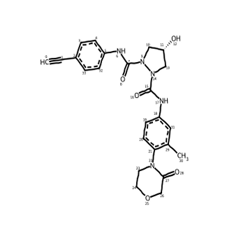 C#Cc1ccc(NC(=O)N2C[C@H](O)CN2C(=O)Nc2ccc(N3CCOCC3=O)c(C)c2)cc1